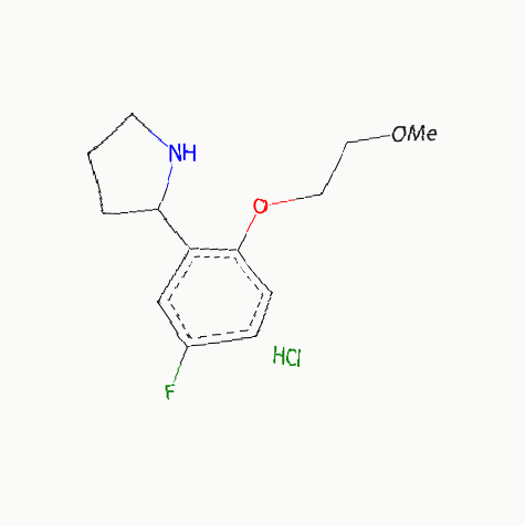 COCCOc1ccc(F)cc1C1CCCN1.Cl